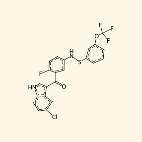 O=C(c1cc(NSc2cccc(OC(F)(F)F)c2)ccc1F)c1c[nH]c2ncc(Cl)cc12